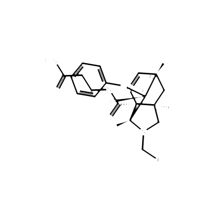 CC(C)CN1C[C@@H]2C[C@H]3C=N[C@]2(C(=O)NCCC(N)=O)[C@@H]1[C@@H]3Cc1ccccc1